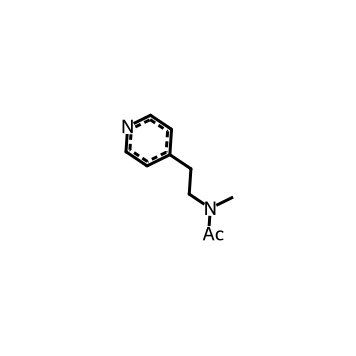 CC(=O)N(C)CCc1ccncc1